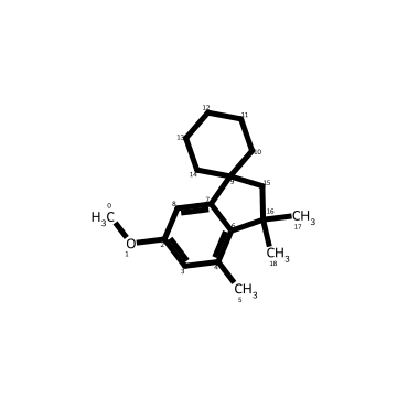 COc1cc(C)c2c(c1)C1(CCCCC1)CC2(C)C